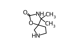 CC1(C)NC(=O)OC12CCNC2